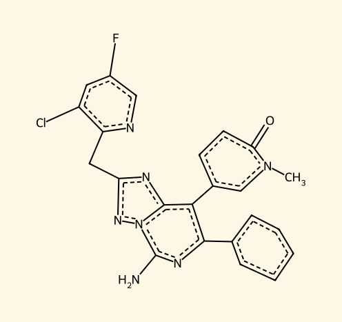 Cn1cc(-c2c(-c3ccccc3)nc(N)n3nc(Cc4ncc(F)cc4Cl)nc23)ccc1=O